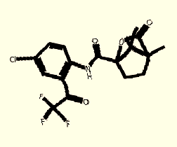 CC12CCC(C(=O)Nc3ccc(Cl)cc3C(=O)C(F)(F)F)(OC1=O)C2(C)C